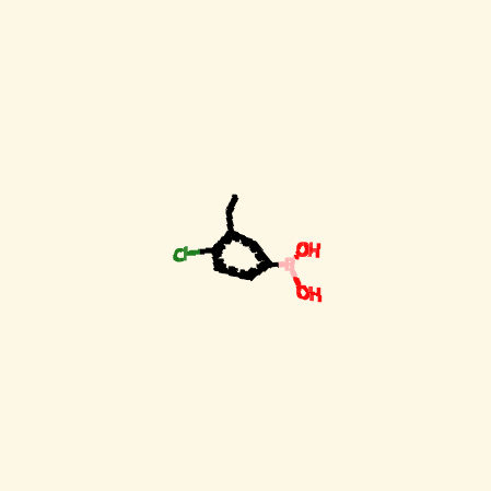 CCc1cc(B(O)O)ccc1Cl